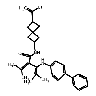 C=C(CC)C1CC2(CC(NC(=O)C(=C(C)C)C(Nc3ccc(-c4ccccc4)cc3)=C(C)C)C2)C1